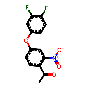 CC(=O)c1ccc(Oc2ccc(F)c(F)c2)cc1[N+](=O)[O-]